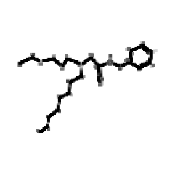 CCCCCCCCC(CCCCCC)CC(=O)OCc1ccccc1